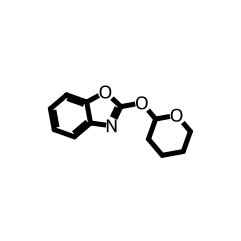 c1ccc2oc(OC3CCCCO3)nc2c1